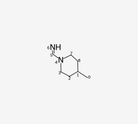 CC1CCN(C=N)CC1